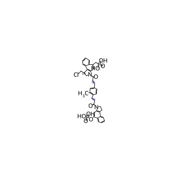 Cc1cc(/C=C/C(=O)N2C[C@@H](CCl)c3c2cc(CP(=O)(O)O)c2ccccc32)ccc1/C=C/C(=O)N1CCc2c1cc(OP(=O)(O)O)c1ccccc21